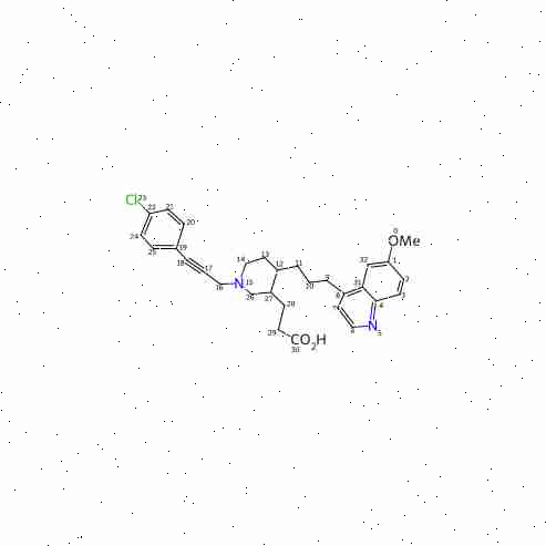 COc1ccc2nccc(CCCC3CCN(CC#Cc4ccc(Cl)cc4)CC3CCC(=O)O)c2c1